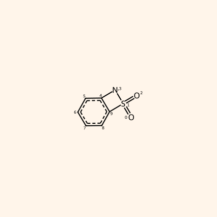 O=S1(=O)[N]c2ccccc21